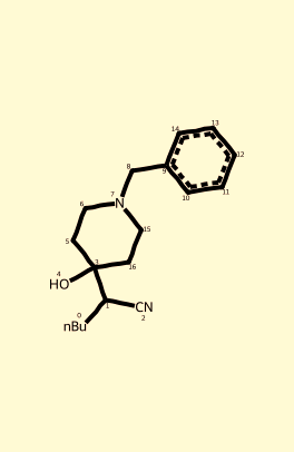 CCCCC(C#N)C1(O)CCN(Cc2ccccc2)CC1